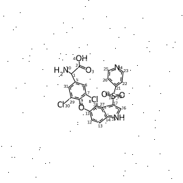 NC(C(=O)O)c1cc(Cl)c(Oc2ccc3[nH]cc(S(=O)(=O)c4ccncc4)c3c2)c(Cl)c1